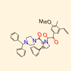 C=Cc1cc(C(=O)C(=O)N2CC[C@@H](c3ccccc3)[C@H]2C(=O)N2CCN(C(c3ccccc3)c3ccccc3)CC2)cc(OC)c1C